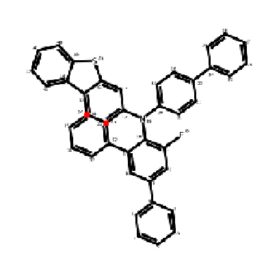 Fc1cc(-c2ccccc2)cc(-c2ccccc2)c1N(c1ccc(-c2ccccc2)cc1)c1ccc2c(c1)sc1ccccc12